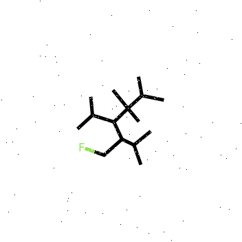 CC(C)C(CF)C(C(C)C)C(C)(C)C(C)C